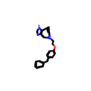 C1=CN(CCOc2ccc(Cc3ccccc3)cc2)Cc2nc[nH]c21